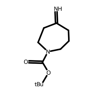 CC(C)(C)OC(=O)N1CCCC(=N)CC1